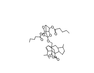 CCCCC(=O)OC1C2OC3(OCC45CC6C(C)CCC6C6(C=O)CC4C=C(C(C)C)C65C(=O)O)OC2OC1C3OC(=O)CCCC